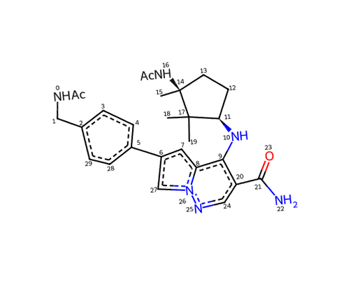 CC(=O)NCc1ccc(-c2cc3c(N[C@@H]4CC[C@](C)(NC(C)=O)C4(C)C)c(C(N)=O)cnn3c2)cc1